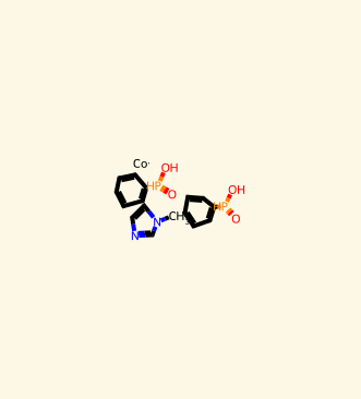 Cn1ccnc1.O=[PH](O)c1ccccc1.O=[PH](O)c1ccccc1.[Co]